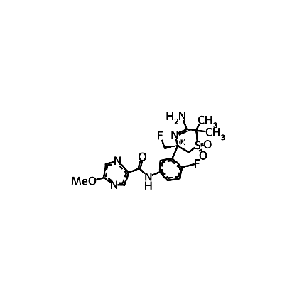 COc1cnc(C(=O)Nc2ccc(F)c([C@@]3(CF)CS(=O)(=O)C(C)(C)C(N)=N3)c2)cn1